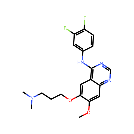 COc1cc2ncnc(Nc3ccc(F)c(F)c3)c2cc1OCCCN(C)C